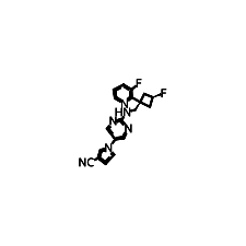 N#Cc1ccn(-c2cnc(NC[C@]3(c4ncccc4F)C[C@H](F)C3)nc2)c1